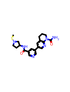 CSN1CCC(NC(=O)c2cncc(-c3cnc4c(c3)CCCN4C(N)=O)c2)C1